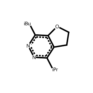 CCC(C)c1nnc(C(C)C)c2c1OCC2